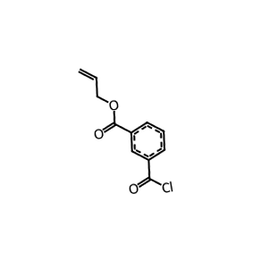 C=CCOC(=O)c1cccc(C(=O)Cl)c1